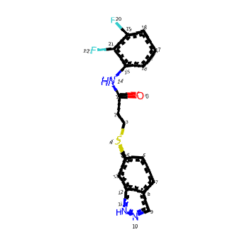 O=C(CCSc1ccc2cn[nH]c2c1)Nc1cccc(F)c1F